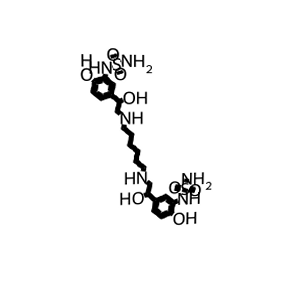 NS(=O)(=O)Nc1cc(C(O)CNCCCCCCNCC(O)c2ccc(O)c(NS(N)(=O)=O)c2)ccc1O